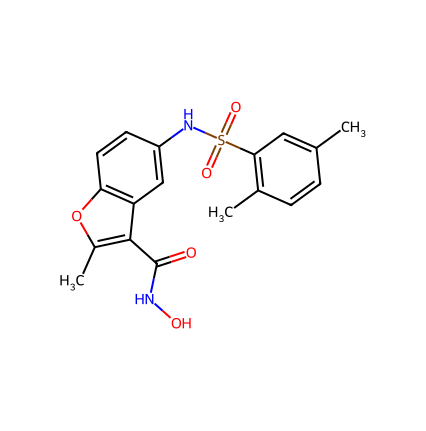 Cc1ccc(C)c(S(=O)(=O)Nc2ccc3oc(C)c(C(=O)NO)c3c2)c1